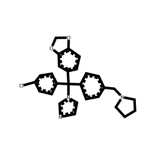 Clc1ccc(C(c2ccc(CN3CCCC3)cc2)(c2ccc3c(c2)OCO3)n2ccnc2)cc1